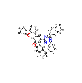 c1ccc(-c2nc(-c3ccc4ccccc4c3)nc(-c3cc(-c4cccc5c4oc4ccccc45)cc4oc5cc6ccccc6cc5c34)n2)cc1